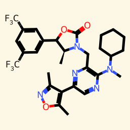 Cc1noc(C)c1-c1cnc(N(C)C2CCCCC2)c(CN2C(=O)OC(c3cc(C(F)(F)F)cc(C(F)(F)F)c3)[C@@H]2C)n1